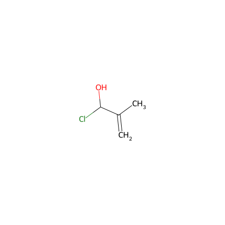 C=C(C)C(O)Cl